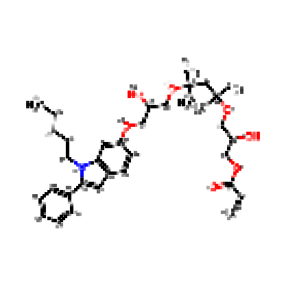 C=CC(=O)OCC(O)COC(C)(C)CC(C)(C)OCC(O)COc1ccc2cc(-c3ccccc3)n(CCCCC)c2c1